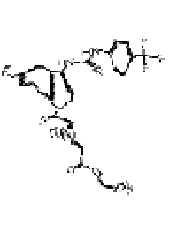 CCOC(=O)CNCC(=O)n1cc(NC(=O)Nc2ccc(C(F)(F)F)cc2)c2cc(F)ccc21